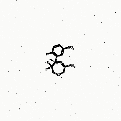 C[C@]1(c2cc([N+](=O)[O-])ccc2F)N=C(N)COCC1(F)F